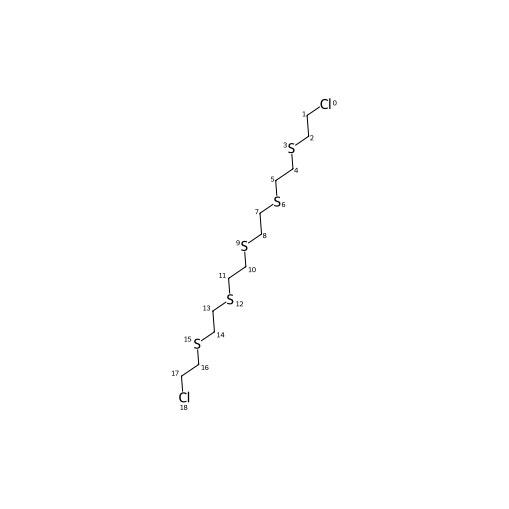 ClCCSCCSCCSCCSCCSCCCl